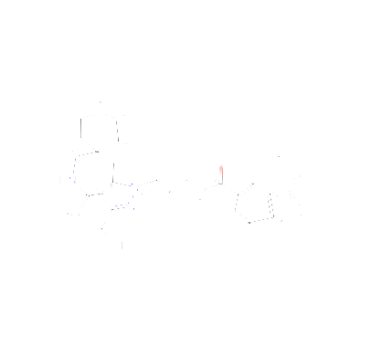 CCc1nn(CCCOC(=O)c2cccc(S(C)(=O)=O)c2)c2c1C(=O)NCC1(CCOCC1)C2